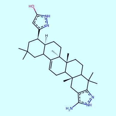 CC1(C)CC2C3=CCC4[C@@]5(C)Cc6c(n[nH]c6N)C(C)(C)C5CC[C@@]4(C)[C@]3(C)CC[C@@H]2[C@H](c2cc(O)[nH]n2)C1